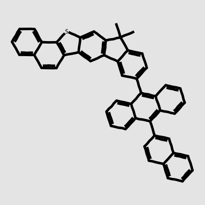 CC1(C)c2ccc(-c3c4ccccc4c(-c4ccc5ccccc5c4)c4ccccc34)cc2-c2cc3c(cc21)sc1c2ccccc2ccc31